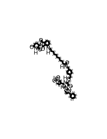 CS(=O)(=O)n1ccc(C(=O)N[C@@H](COCc2ccc(CNC(=O)CCCCCCCCCCNc3cccc4c3C(=O)N(C3CCC(=O)NC3=O)C4=O)cc2)C(=O)Nc2nc(-c3ccccc3)cs2)c1